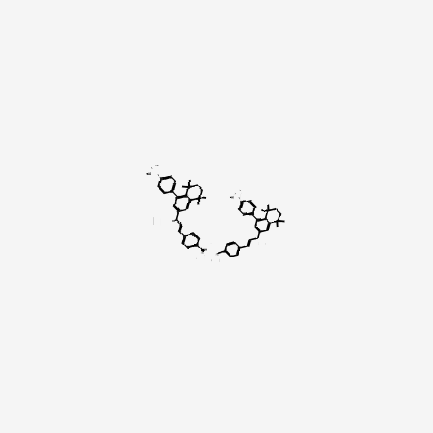 CN(C)c1ccc(-c2cc(C(=O)C=Cc3ccc(C(=O)OC(=O)c4ccc(C=CC(O)c5cc(-c6ccc(N(C)C)cc6)c6c(c5)C(C)(C)CCC6(C)C)cc4)cc3)cc3c2C(C)(C)CCC3(C)C)cc1